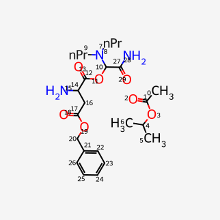 CC(=O)OC(C)C.CCCN(CCC)C(OC(=O)C(N)CC(=O)OCc1ccccc1)C(N)=O